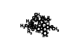 COc1ccc2c(c1)C=C(c1c(C(=O)N3C[C@@H](C)O[C@@H](C)C3)cnn1C1CCC1)CN1C2=C(C2CCCCC2)C2C=CC(C(=O)NS(=O)(=O)CC(C)C)=CC21